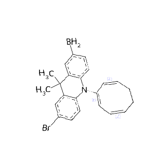 Bc1ccc2c(c1)C(C)(C)c1cc(Br)ccc1N2C1=C/C=C\CC/C=C\1